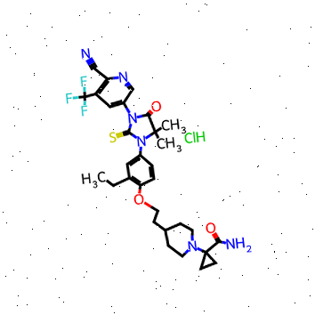 CCc1cc(N2C(=S)N(c3cnc(C#N)c(C(F)(F)F)c3)C(=O)C2(C)C)ccc1OCCC1CCN(C2(C(N)=O)CC2)CC1.Cl